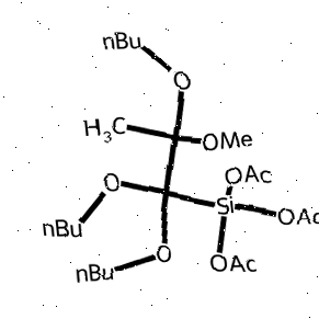 CCCCOC(C)(OC)C(OCCCC)(OCCCC)[Si](OC(C)=O)(OC(C)=O)OC(C)=O